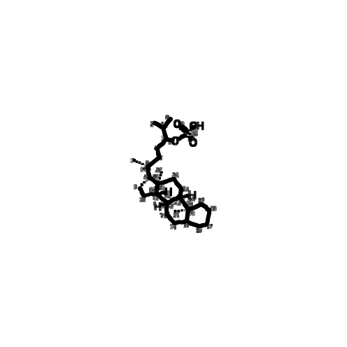 CC(C)C(CC[C@@H](C)[C@H]1CC[C@H]2[C@@H]3CCC4CCCC[C@]4(C)[C@H]3CC[C@]12C)OS(=O)(=O)O